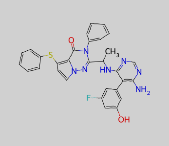 CC(Nc1ncnc(N)c1-c1cc(O)cc(F)c1)c1nn2ccc(Sc3ccccc3)c2c(=O)n1-c1ccccc1